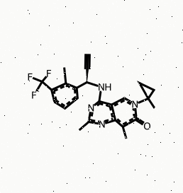 C#C[C@@H](Nc1nc(C)nc2c(C)c(=O)n(C3(C)CC3)cc12)c1cccc(C(F)(F)F)c1C